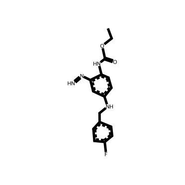 CCOC(=O)Nc1ccc(NCc2ccc(F)cc2)cc1N=N